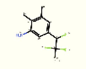 Cc1cc(C(F)C(F)(F)C(F)(F)F)cc(N)c1C